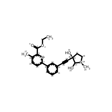 CCOC(=O)c1nc(-c2cccc(C#C[C@]3(O)CCN(C)C3O)c2)ccc1C